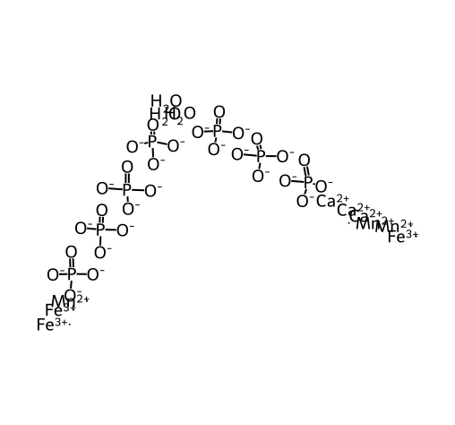 O.O.O.O=P([O-])([O-])[O-].O=P([O-])([O-])[O-].O=P([O-])([O-])[O-].O=P([O-])([O-])[O-].O=P([O-])([O-])[O-].O=P([O-])([O-])[O-].O=P([O-])([O-])[O-].[Ca+2].[Ca+2].[Ca+2].[Fe+3].[Fe+3].[Fe+3].[Mn+2].[Mn+2].[Mn+2]